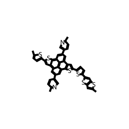 Cc1ccc(-c2cc3c4cc(-c5ccc(-c6cc7sc(C)cc7s6)s5)sc4c4cc(-c5ccc(C)nc5)cc5c6cc(-c7ccc(C)s7)sc6c(c2)c3c54)cn1